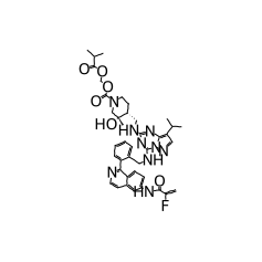 C=C(F)C(=O)Nc1ccc2c(-c3ccccc3CNc3nc(NC[C@H]4CCN(C(=O)OCOC(=O)C(C)C)C[C@@]4(C)O)nc4c(C(C)C)cnn34)nccc2c1